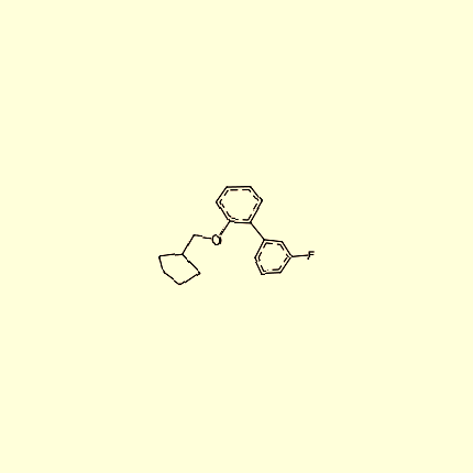 Fc1cccc(-c2ccccc2OCC2CCCC2)c1